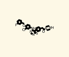 O=C(Cc1ccc2c(c1)sc1ncnc(Nc3ccc(OCc4cccc(F)c4)c(Cl)c3)c12)N1CCNCC1